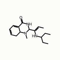 C/C=C(\NC(CC)CC)C1NC(=O)C2=CC=CCC2N1C